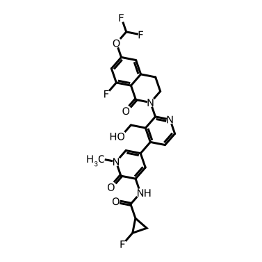 Cn1cc(-c2ccnc(N3CCc4cc(OC(F)F)cc(F)c4C3=O)c2CO)cc(NC(=O)C2CC2F)c1=O